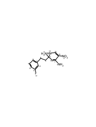 NC1=NC(N)(CCc2cccc(F)c2)NC=C1[N+](=O)[O-]